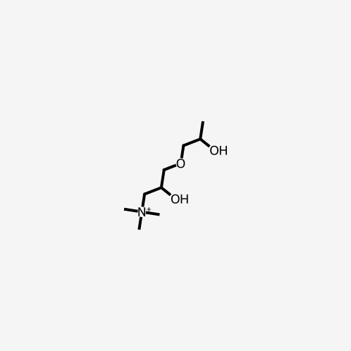 CC(O)COCC(O)C[N+](C)(C)C